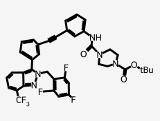 CC(C)(C)OC(=O)N1CCN(C(=O)Nc2cccc(C#Cc3cccc(-c4c5cccc(C(F)(F)F)c5nn4Cc4c(F)cc(F)cc4F)c3)c2)CC1